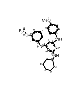 COc1ccc(Nc2cc(Nc3cccc(OC(F)(F)F)c3)nc(NC3CCCCC3)n2)cc1